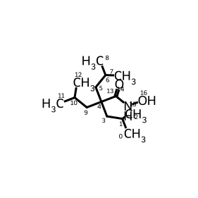 CC(C)CC(CC(C)C)(CC(C)C)C(=O)NO